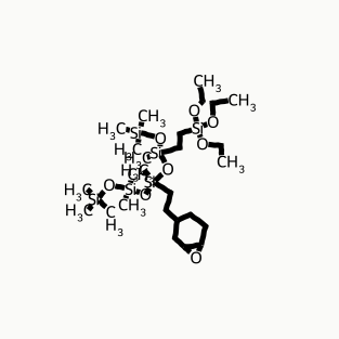 CCO[Si](CC[Si](C)(O[Si](C)(C)C)O[Si](C)(CCC1CCC2OC2C1)O[Si](C)(C)O[Si](C)(C)C)(OCC)OCC